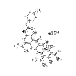 CN1CCN(CC(=O)Nc2cc(N(C)C)c3c(c2O)C(=O)C2=C(O)[C@]4(O)C(=O)C(C(N)=O)=C(O)[C@@H](N(C)C)C4CC2C3)CC1.Cl.Cl